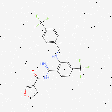 N=C(NC(=O)c1ccoc1)c1ccc(C(F)(F)F)cc1NCc1ccc(C(F)(F)F)cc1